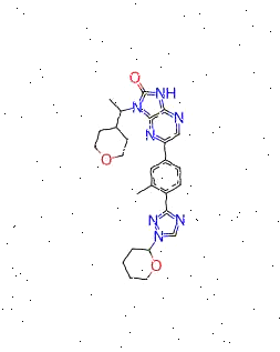 Cc1cc(-c2cnc3[nH]c(=O)n(C(C)C4CCOCC4)c3n2)ccc1-c1ncn(C2CCCCO2)n1